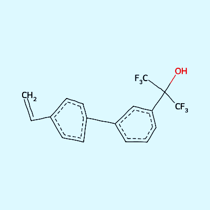 C=Cc1ccc(-c2cccc(C(O)(C(F)(F)F)C(F)(F)F)c2)cc1